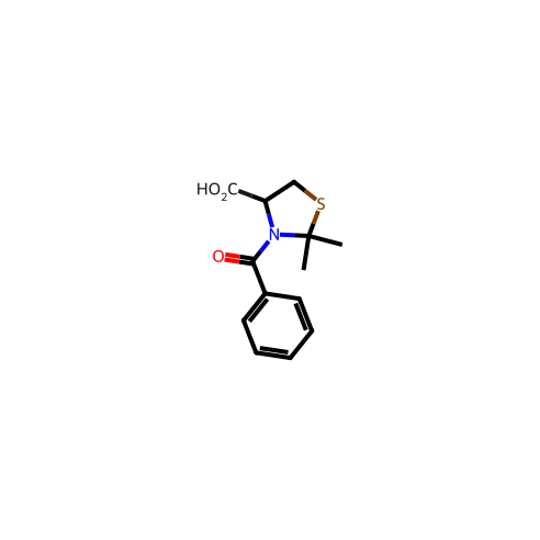 CC1(C)SCC(C(=O)O)N1C(=O)c1ccccc1